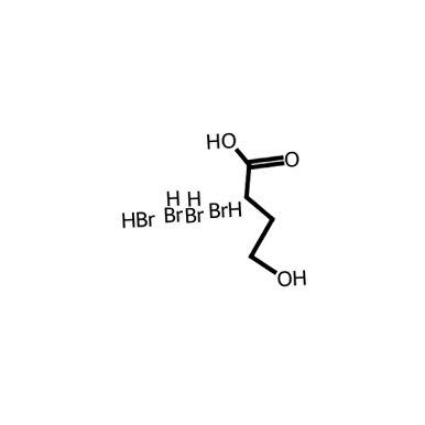 Br.Br.Br.Br.O=C(O)CCCO